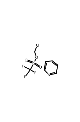 O=S(=O)(OCCl)C(F)(F)F.c1ccncc1